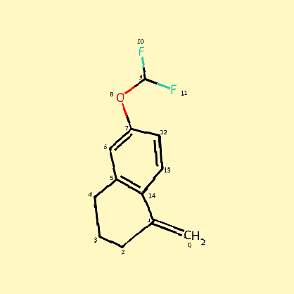 C=C1CCCc2cc(OC(F)F)ccc21